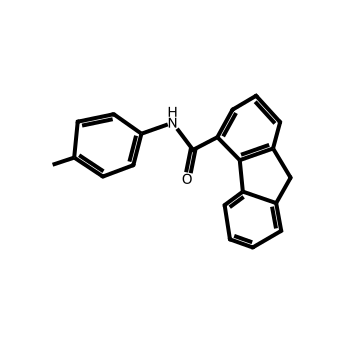 Cc1ccc(NC(=O)c2cccc3c2-c2ccccc2C3)cc1